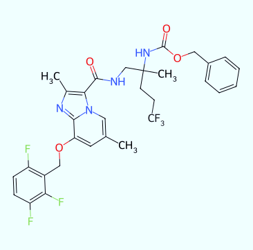 Cc1cc(OCc2c(F)ccc(F)c2F)c2nc(C)c(C(=O)NCC(C)(CCC(F)(F)F)NC(=O)OCc3ccccc3)n2c1